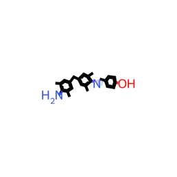 Cc1cc(Cc2cc(C)c(/N=C/c3ccc(O)cc3)c(C)c2)cc(C)c1N